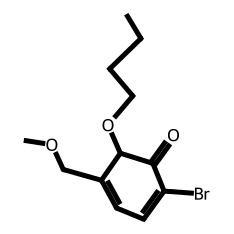 CCCCOC1C(=O)C(Br)=CC=C1COC